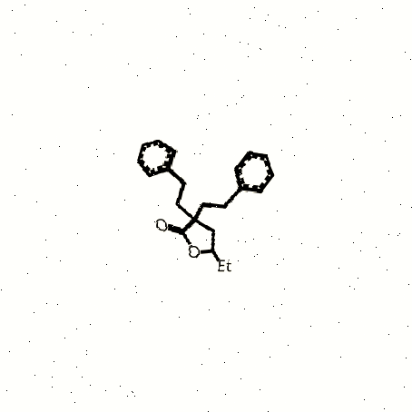 CCC1CC(CCc2ccccc2)(CCc2ccccc2)C(=O)O1